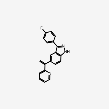 C=C(c1ccc2[nH]nc(-c3ccc(F)cc3)c2c1)c1ccccn1